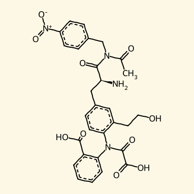 CC(=O)N(Cc1ccc([N+](=O)[O-])cc1)C(=O)[C@@H](N)Cc1ccc(N(C(=O)C(=O)O)c2ccccc2C(=O)O)c(CCO)c1